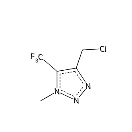 Cn1nnc(CCl)c1C(F)(F)F